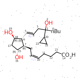 CCCCC(O)(C/C=C/[C@@H]1[C@@H](C/C=C\CCCC(=O)O)[C@H](O)C[C@H]1O)C1CC1